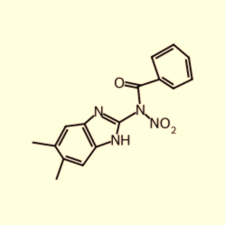 Cc1cc2nc(N(C(=O)c3ccccc3)[N+](=O)[O-])[nH]c2cc1C